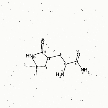 CC1(C)CC(CC(N)C(N)=O)C(=O)N1